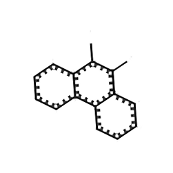 CC(=O)c1c(F)c2ccccc2c2ccccc12